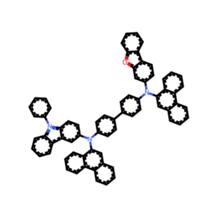 c1ccc(-n2c3ccccc3c3cc(N(c4ccc(-c5ccc(N(c6ccc7c(c6)oc6ccccc67)c6cc7ccccc7c7ccccc67)cc5)cc4)c4cc5ccccc5c5ccccc45)ccc32)cc1